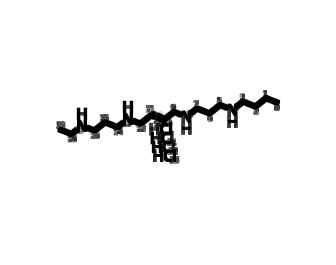 CCCCNCCCNC/C=C/CNCCCNCC.Cl.Cl.Cl.Cl